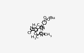 Cc1c(-c2cc(O[C@H](C)c3ccn(C)n3)c3c(Cl)cnn3c2)nnn1C1CCN(C(=O)OC(C)(C)C)CC1